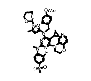 COc1ccc(CN(c2cc(C)n(C3CCCCO3)n2)c2nc(N(C)c3ccc(S(C)(=O)=O)cc3F)nc(N3CCOc4ccncc43)c2C2CC2)cc1